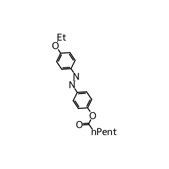 CCCCCC(=O)Oc1ccc(/N=N/c2ccc(OCC)cc2)cc1